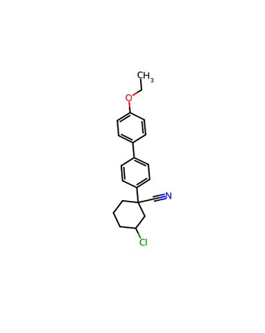 CCOc1ccc(-c2ccc(C3(C#N)CCCC(Cl)C3)cc2)cc1